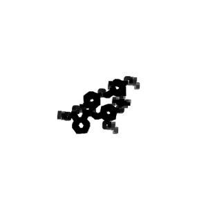 Cc1ccc(COc2ccc3nc(C4CCCCC4C(=O)O)n(Cc4ccc(OC(F)(F)F)cc4C)c3c2)nc1